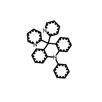 c1ccc(N2c3ccccc3C(c3ccccn3)(c3ccccn3)c3ccccc32)cc1